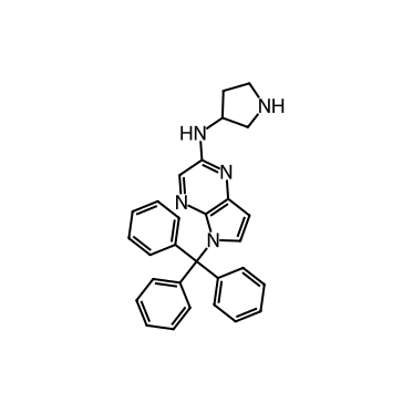 c1ccc(C(c2ccccc2)(c2ccccc2)n2ccc3nc(NC4CCNC4)cnc32)cc1